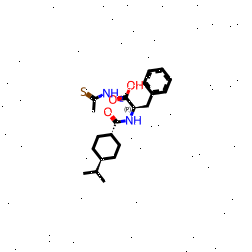 CC(C)[C@H]1CC[C@H](C(=O)N[C@H](Cc2ccccc2)C(=O)O)CC1.CC(N)=S